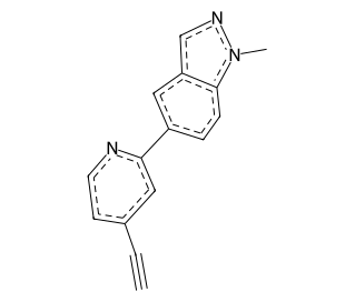 C#Cc1ccnc(-c2ccc3c(cnn3C)c2)c1